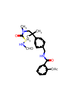 CC(=O)Oc1ccccc1C(=O)NCc1ccc(C(C)(C)CN(C)C(=O)SNC=O)cc1